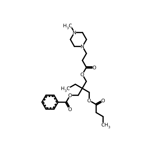 CCCC(=O)OCC(CC)(COC(=O)CCN1CCN(C)CC1)COC(=O)c1ccccc1